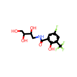 O=C(NCC(O)C(O)CO)c1cc(F)cc(C(F)(F)F)c1O